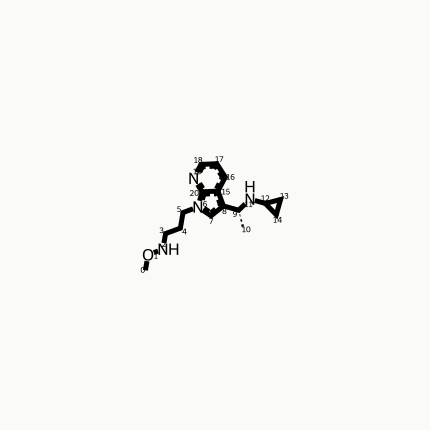 CONCCCn1cc([C@@H](C)NC2CC2)c2cccnc21